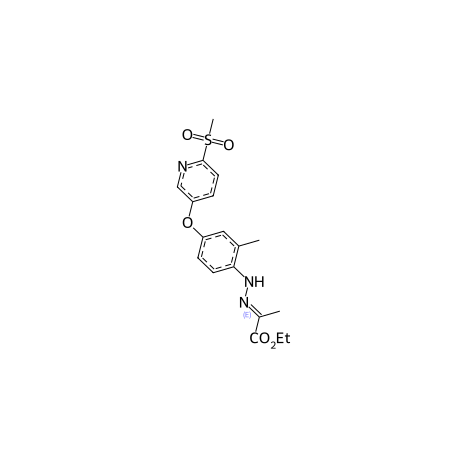 CCOC(=O)/C(C)=N/Nc1ccc(Oc2ccc(S(C)(=O)=O)nc2)cc1C